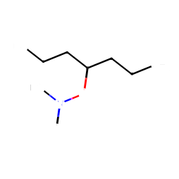 CCCC(CCC)ON(C)C